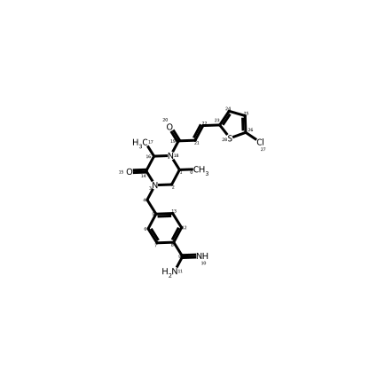 CC1CN(Cc2ccc(C(=N)N)cc2)C(=O)C(C)N1C(=O)C=Cc1ccc(Cl)s1